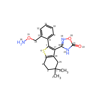 CC1(C)CCc2sc(-c3ccccc3CON)c(-c3noc(=O)[nH]3)c2C1